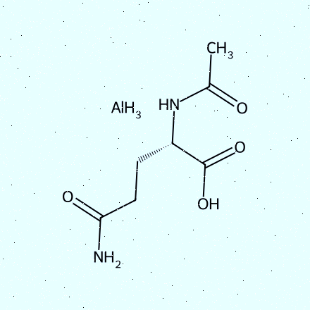 CC(=O)N[C@@H](CCC(N)=O)C(=O)O.[AlH3]